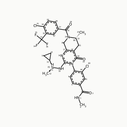 CNC(=O)c1ccc(-n2c(N[Si@@H](C)C3CC3)nc3c(c2=O)C[C@@H](C)N(C(=O)c2ccc(Cl)c(C(F)(F)F)c2)C3)c(Cl)c1